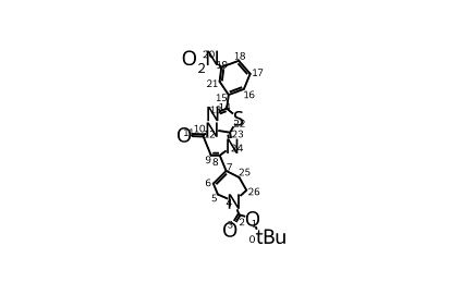 CC(C)(C)OC(=O)N1CC=C(c2cc(=O)n3nc(-c4cccc([N+](=O)[O-])c4)sc3n2)CC1